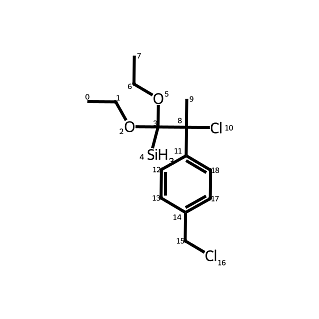 CCOC([SiH3])(OCC)C(C)(Cl)c1ccc(CCl)cc1